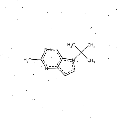 Cc1ncc2c(ccn2C(C)(C)C)n1